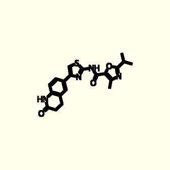 Cc1nc(C(C)C)oc1C(=O)Nc1nc(-c2ccc3c(c2)CCC(=O)N3)cs1